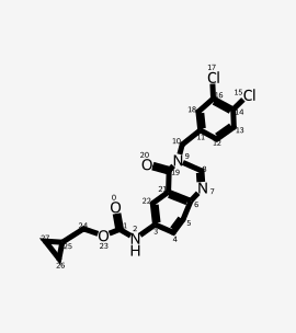 O=C(Nc1ccc2ncn(Cc3ccc(Cl)c(Cl)c3)c(=O)c2c1)OCC1CC1